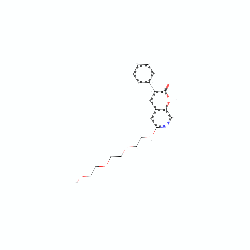 CCOCCOCCOCCOc1cc2cc(-c3ccccc3)c(=O)oc2cn1